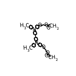 C=CC(=O)OCCCOc1ccc(N(c2ccc(C)cc2)c2ccc(-c3ccc(N(c4ccc(C)cc4)c4ccc(OCCCOC(=O)C=C)cc4)cc3)cc2)cc1